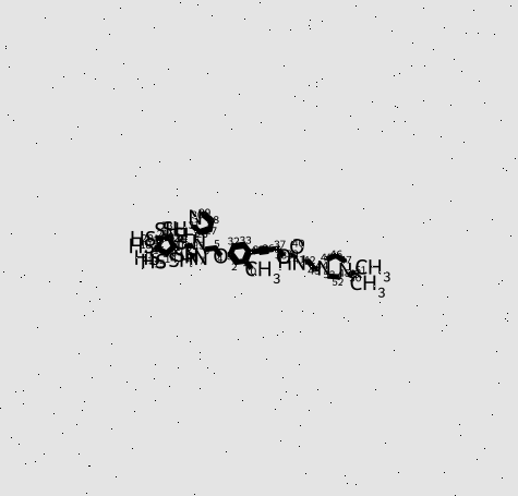 Cc1cc(OCc2nnc(SC3(S)C(S)(S)C(S)(S)C(S)(S)C3(S)S)n2-c2cccnc2)ccc1C#CCOC(=O)NCCN1CCCN(C(C)C)CC1